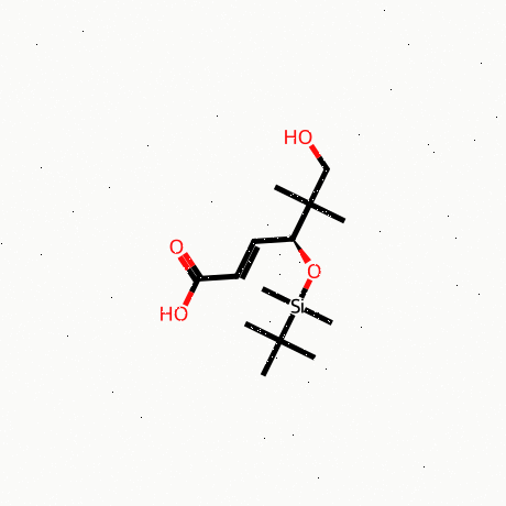 CC(C)(CO)[C@H](C=CC(=O)O)O[Si](C)(C)C(C)(C)C